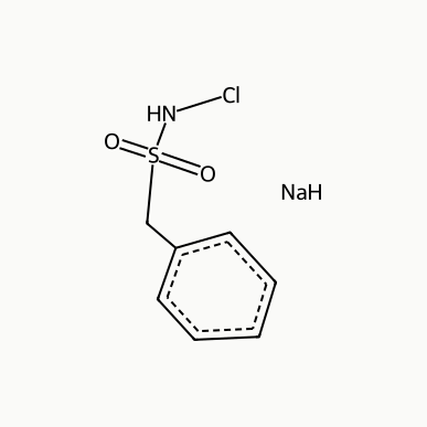 O=S(=O)(Cc1ccccc1)NCl.[NaH]